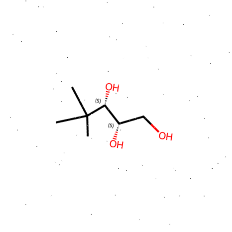 CC(C)(C)[C@H](O)[C@@H](O)CO